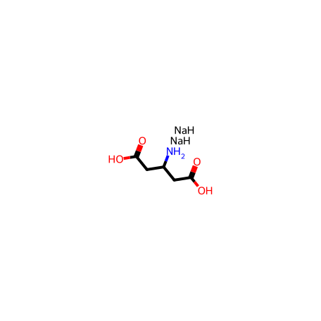 NC(CC(=O)O)CC(=O)O.[NaH].[NaH]